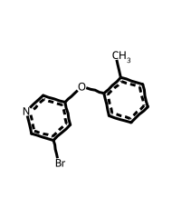 Cc1ccccc1Oc1cncc(Br)c1